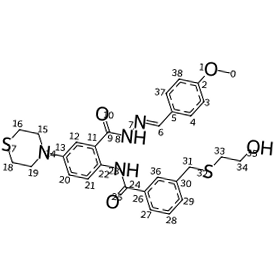 COc1ccc(/C=N/NC(=O)c2cc(N3CCSCC3)ccc2NC(=O)c2cccc(CSCCO)c2)cc1